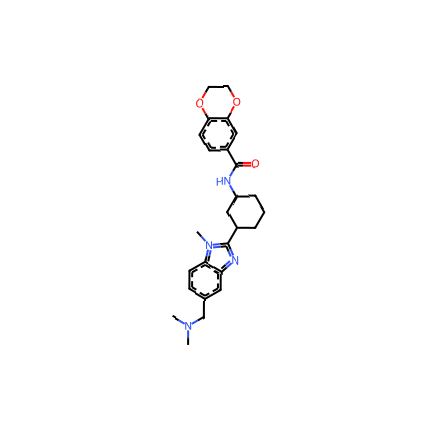 CN(C)Cc1ccc2c(c1)nc(C1CCCC(NC(=O)c3ccc4c(c3)OCCO4)C1)n2C